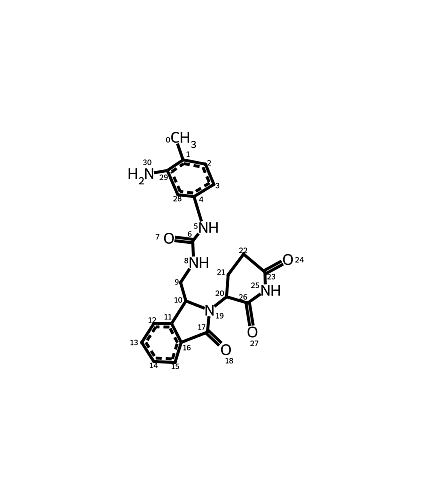 Cc1ccc(NC(=O)NCC2c3ccccc3C(=O)N2C2CCC(=O)NC2=O)cc1N